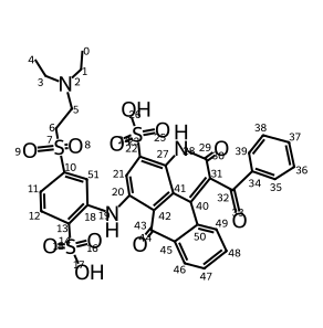 CCN(CC)CCS(=O)(=O)c1ccc(S(=O)(=O)O)c(Nc2cc(S(=O)(=O)O)c3[nH]c(=O)c(C(=O)c4ccccc4)c4c3c2C(=O)c2ccccc2-4)c1